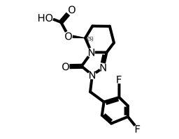 O=C(O)O[C@H]1CCCc2nn(Cc3ccc(F)cc3F)c(=O)n21